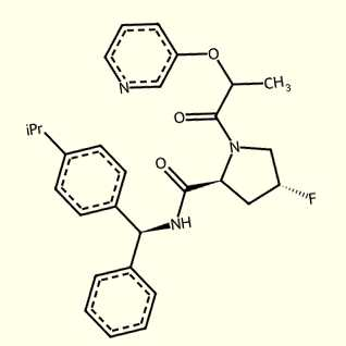 CC(Oc1cccnc1)C(=O)N1C[C@H](F)C[C@H]1C(=O)N[C@@H](c1ccccc1)c1ccc(C(C)C)cc1